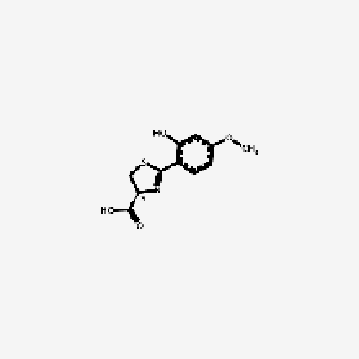 COc1ccc(C2=N[C@@H](C(=O)O)CS2)c(O)c1